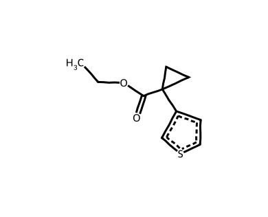 CCOC(=O)C1(c2ccsc2)CC1